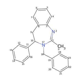 CC1=Nc2ccccc2CC(c2ccccc2)N1Cc1ccccc1